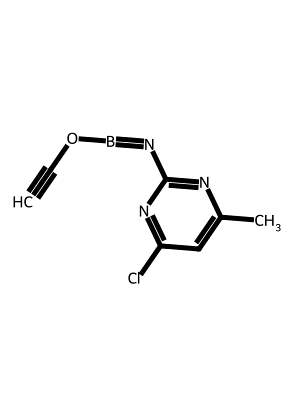 C#CO/B=N/c1nc(C)cc(Cl)n1